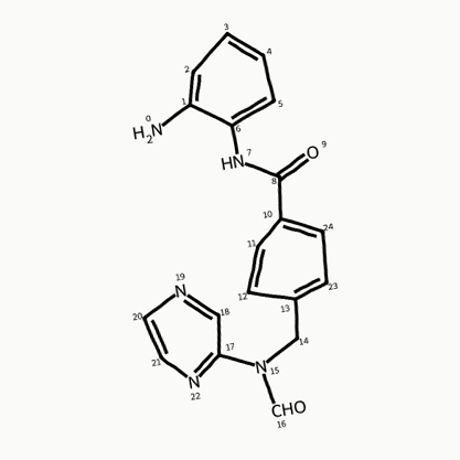 Nc1ccccc1NC(=O)c1ccc(CN(C=O)c2cnccn2)cc1